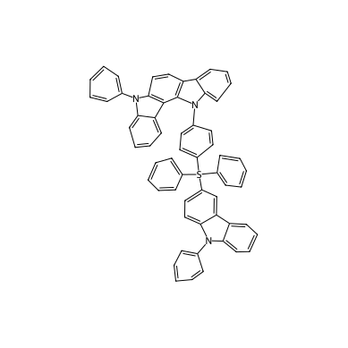 c1ccc(-n2c3ccccc3c3cc(S(c4ccccc4)(c4ccccc4)c4ccc(-n5c6ccccc6c6ccc7c(c8ccccc8n7-c7ccccc7)c65)cc4)ccc32)cc1